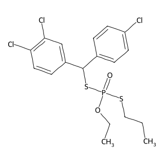 CCCSP(=O)(OCC)SC(c1ccc(Cl)cc1)c1ccc(Cl)c(Cl)c1